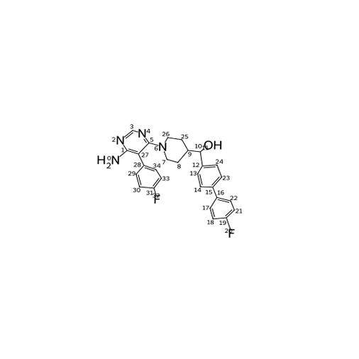 Nc1ncnc(N2CCC(C(O)c3ccc(-c4ccc(F)cc4)cc3)CC2)c1-c1ccc(F)cc1